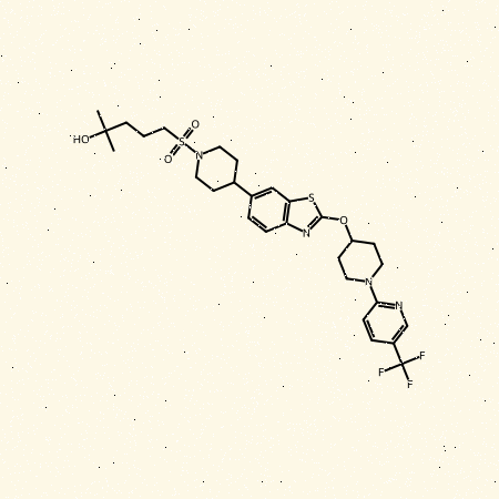 CC(C)(O)CCCS(=O)(=O)N1CCC(c2ccc3nc(OC4CCN(c5ccc(C(F)(F)F)cn5)CC4)sc3c2)CC1